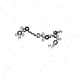 CC(C)c1cnn2c(NCc3ccc(NC(=O)N4CCN(CCCCCc5cccc6c5CN(C5CCC(=O)NC5=O)C6=O)CC4)cc3)cc(NC3CCN(C)CC3)nc12